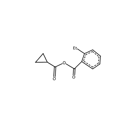 CCc1ccccc1C(=O)OC(=O)C1CC1